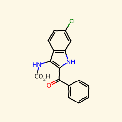 O=C(O)Nc1c(C(=O)c2ccccc2)[nH]c2cc(Cl)ccc12